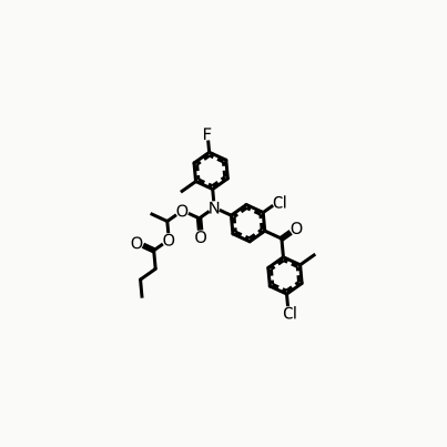 CCCC(=O)OC(C)OC(=O)N(c1ccc(C(=O)c2ccc(Cl)cc2C)c(Cl)c1)c1ccc(F)cc1C